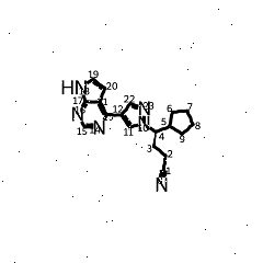 N#CCC[C@H](C1CCCC1)n1cc(-c2ncnc3[nH]ccc23)cn1